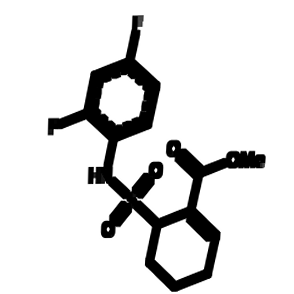 COC(=O)C1=CCCCC1S(=O)(=O)Nc1ccc(F)cc1F